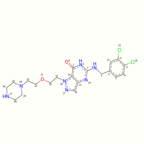 O=c1[nH]c(NCc2ccc(Cl)c(Cl)c2)nc2cnn(CCOCCN3CCNCC3)c12